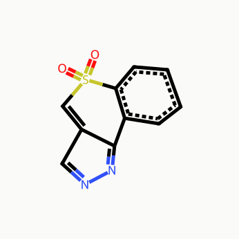 O=S1(=O)C=C2C=NN=C2c2ccccc21